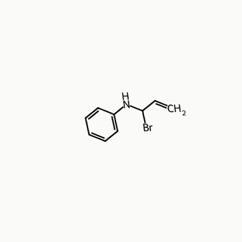 C=CC(Br)Nc1ccccc1